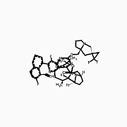 C#Cc1c(F)ccc2cccc(-c3nc4c5c(nc(OC[C@@]67CCCN6C[C@@]6(CC6(F)F)C7)nc5c3F)N3C[C@H]5CC[C@@H]([C@@H]3[C@@H](C)C4)N5C(=O)OC(C)(C)C)c12